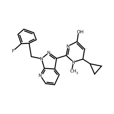 CN1C(c2nn(Cc3ccccc3F)c3ncccc23)=NC(O)=[C]C1C1CC1